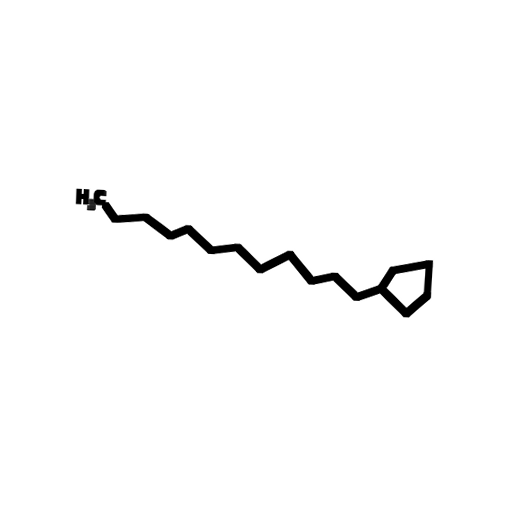 CCCCCCCCCCCCC1CCCC1